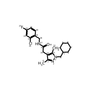 Cc1nn(CC2CCCCC2)c(C)c1CC(=O)NCc1ccc(F)cc1Cl